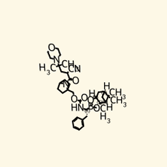 CC1(C)[C@@H]2C[C@H]3OB([C@H](Cc4ccccc4)NC(=O)OCC45CCC(CC4)N5C(=O)C(C#N)CC(C)(C)N4CCOCC4)O[C@@]3(C)[C@H]1C2